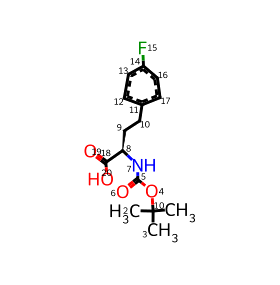 CC(C)(C)OC(=O)N[C@H](CCc1ccc(F)cc1)C(=O)O